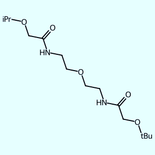 CC(C)OCC(=O)NCCOCCNC(=O)COC(C)(C)C